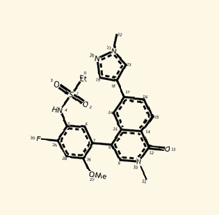 CCS(=O)(=O)Nc1cc(-c2cn(C)c(=O)c3ccc(-c4cnn(C)c4)cc23)c(OC)cc1F